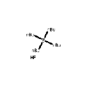 CCCC[P](CCCC)(CCCC)CCCC.F